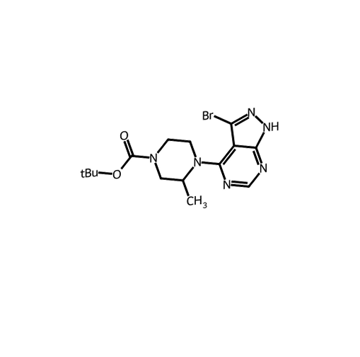 CC1CN(C(=O)OC(C)(C)C)CCN1c1ncnc2[nH]nc(Br)c12